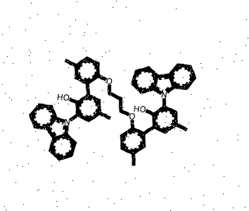 Cc1ccc(OCCCOc2ccc(C)cc2-c2cc(C)cc(-n3c4ccccc4c4ccccc43)c2O)c(-c2cc(C)cc(-n3c4ccccc4c4ccccc43)c2O)c1